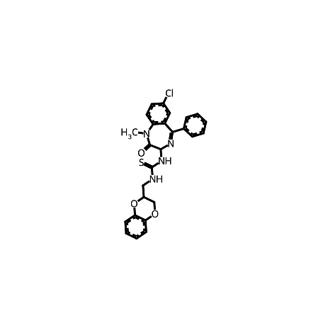 CN1C(=O)C(NC(=S)NCC2COc3ccccc3O2)N=C(c2ccccc2)c2cc(Cl)ccc21